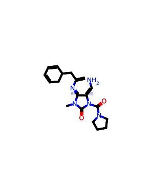 C=C(CC1C=CC=CC1)/N=C1\C(=C/N)N(C(=O)N2CCCC2)C(=O)N1C